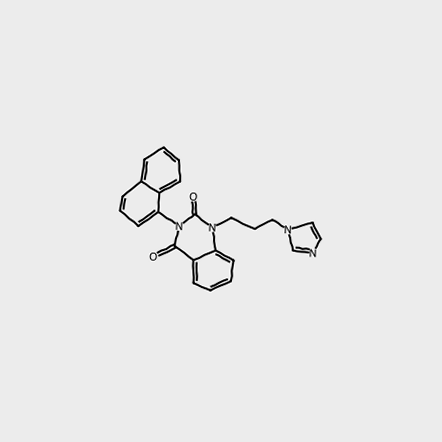 O=c1c2ccccc2n(CCCn2ccnc2)c(=O)n1-c1cccc2ccccc12